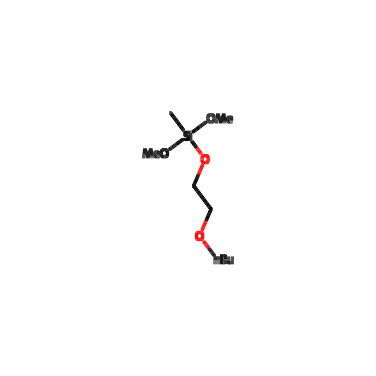 CCCCOCCO[Si](C)(OC)OC